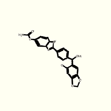 NC(=O)Oc1ccc2[nH]c(-c3ccc(C(O)c4cc5c(cc4Cl)OCO5)cc3)nc2c1